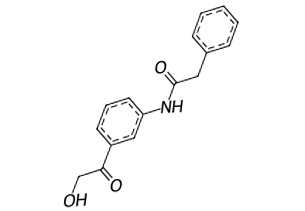 O=C(Cc1ccccc1)Nc1cccc(C(=O)CO)c1